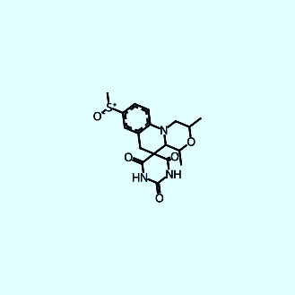 CC1CN2c3ccc([S+](C)[O-])cc3CC3(C(=O)NC(=O)NC3=O)C2C(C)O1